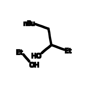 CCCCCC(O)CC.CCO